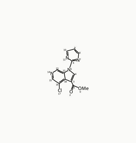 COC(=O)c1cn(-c2ncccn2)c2cncc(Cl)c12